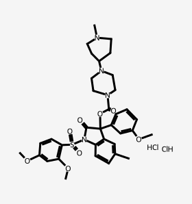 COc1cccc(C2(OC(=O)N3CCN(C4CCN(C)CC4)CC3)C(=O)N(S(=O)(=O)c3ccc(OC)cc3OC)c3ccc(C)cc32)c1.Cl.Cl